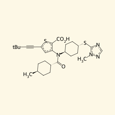 Cn1ncnc1S[C@H]1CC[C@H](N(c2cc(C#CC(C)(C)C)sc2C(=O)O)C(=O)[C@H]2CC[C@H](C)CC2)CC1